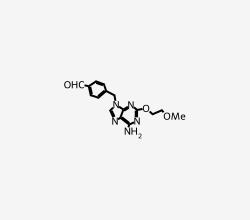 COCCOc1nc(N)c2ncn(Cc3ccc(C=O)cc3)c2n1